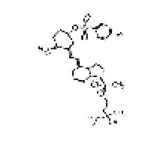 C=C1CC[C@H](OS(=O)(=O)c2ccc(Br)cc2)C/C1=C\C=C1/CCC[C@@]2(C)C1CC[C@@H]2[C@H](C)OCCC(C)(C)O